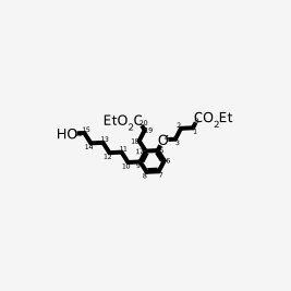 CCOC(=O)CCCOc1cccc(CCCCCCO)c1CCC(=O)OCC